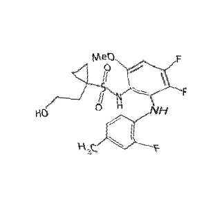 COc1cc(F)c(F)c(Nc2ccc(C)cc2F)c1NS(=O)(=O)C1(CCO)CC1